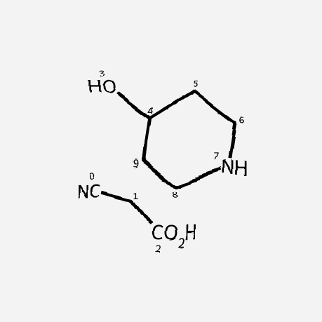 N#CCC(=O)O.OC1CCNCC1